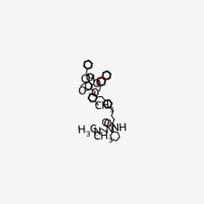 Cc1ccc([C@]23OC[C@](C)(O2)[C@@H](OCc2ccccc2)[C@H](OCc2ccccc2)[C@H]3OCc2ccccc2)cc1Cc1ccc(CCCC(=O)NC2(N(C=O)CCN(C)C)CCCCC2)cc1